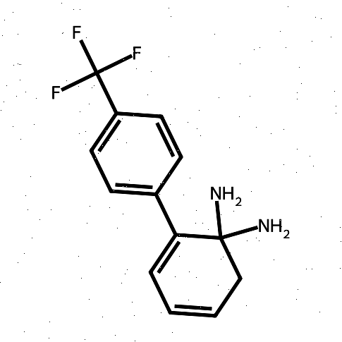 NC1(N)CC=CC=C1c1ccc(C(F)(F)F)cc1